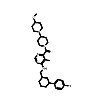 COC1CCN(C2CCN(C(=O)c3ncnc(NCC4CCCC(c5ccc(Cl)cc5)C4)c3C)CC2)CC1